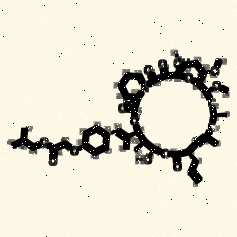 C=CC[C@@H]1/C=C(\C)C[C@H](C)C[C@H](OC)[C@H]2O[C@@](O)(C(=O)C(=O)N3CCCC[C@H]3C(=O)O[C@H](/C(C)=C/[C@H]3CC[C@H](OCC(=O)OCC(C)C)CC3)[C@H](C)[C@@H](O)CC1=O)[C@H](C)C[C@@H]2OC